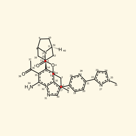 COCCOC(=O)N1C2CC[C@H]1C[C@@H](c1nc3c(-c4ccc(-c5ccn(C)n5)nc4)cnn3c(N)c1C(C)=O)C2